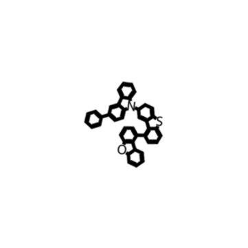 C1=CC2Oc3cccc(-c4cccc5sc6c(c45)=CC(n4c5ccccc5c5cc(-c7ccccc7)ccc54)CC=6)c3C2C=C1